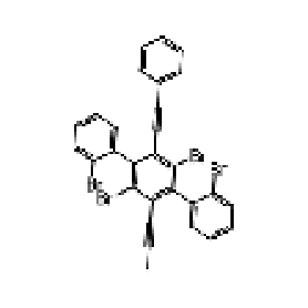 CC#Cc1c(Br)c(-c2ccccc2Br)c(C#Cc2ccccc2)c(Br)c1-c1ccccc1Br